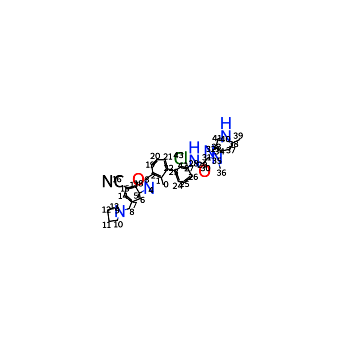 Cc1c(-c2nc3cc(CN4CCCC4)cc(C#N)c3o2)cccc1-c1cccc(NC(=O)c2nc3c(n2C)CC(C)NC3)c1Cl